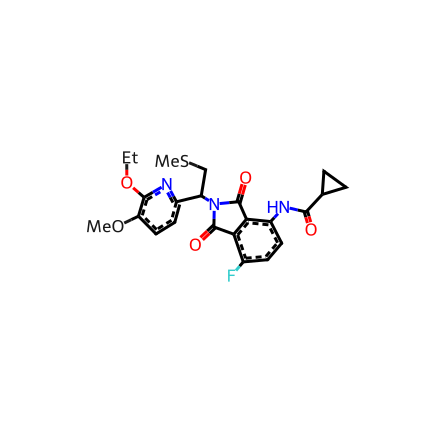 CCOc1nc(C(CSC)N2C(=O)c3c(F)ccc(NC(=O)C4CC4)c3C2=O)ccc1OC